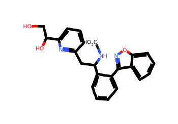 O=C(O)NC(Cc1cccc(C(O)CO)n1)c1ccccc1-c1noc2ccccc12